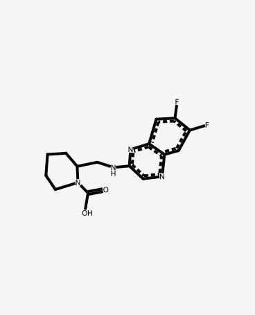 O=C(O)N1CCCCC1CNc1cnc2cc(F)c(F)cc2n1